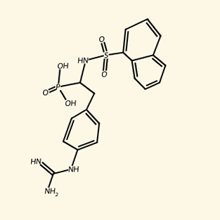 N=C(N)Nc1ccc(CC(NS(=O)(=O)c2cccc3ccccc23)P(=O)(O)O)cc1